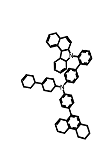 C1=CCC2C=CC3C(C2=C1)C1C=CC=CC1N3c1ccccc1-c1ccc(N(c2ccc(-c3cc4c(c5c3C=CCC5)CCCC4)cc2)C2CC=C(C3CC=CCC3)CC2)cc1